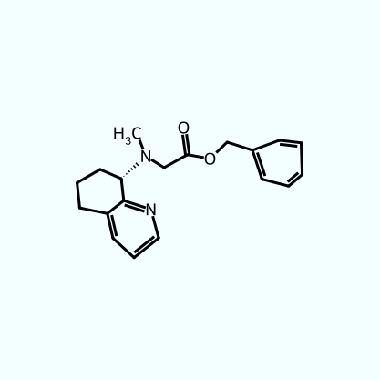 CN(CC(=O)OCc1ccccc1)[C@H]1CCCc2cccnc21